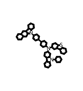 c1ccc(-n2c3ccccc3c3ccc(N(c4ccc(-c5ccc(-n6c7ccccc7c7cc8ccccc8cc76)cc5)cc4)c4ccc5sc6ccccc6c5c4)cc32)cc1